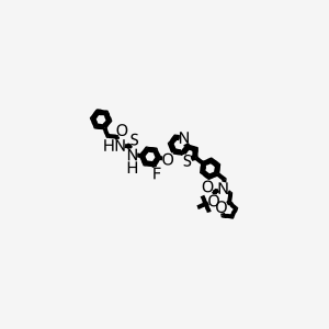 CC(C)(C)OC(=O)N(Cc1ccc(-c2cc3nccc(Oc4ccc(NC(=S)NC(=O)Cc5ccccc5)cc4F)c3s2)cc1)CC1CCCO1